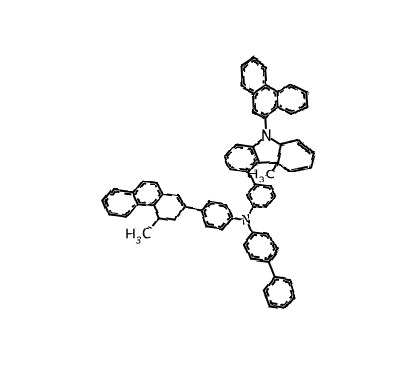 CC1CC(c2ccc(N(c3ccc(-c4ccccc4)cc3)c3cccc(-c4cccc5c4C4(C)C=CC=CC4N5c4cc5ccccc5c5ccccc45)c3)cc2)=Cc2ccc3ccccc3c21